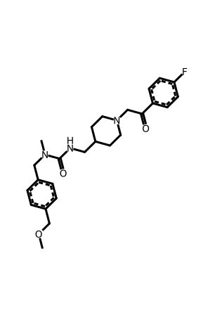 COCc1ccc(CN(C)C(=O)NCC2CCN(CC(=O)c3ccc(F)cc3)CC2)cc1